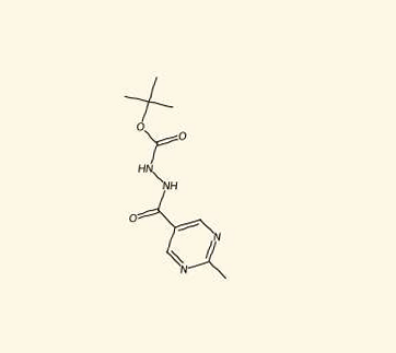 Cc1ncc(C(=O)NNC(=O)OC(C)(C)C)cn1